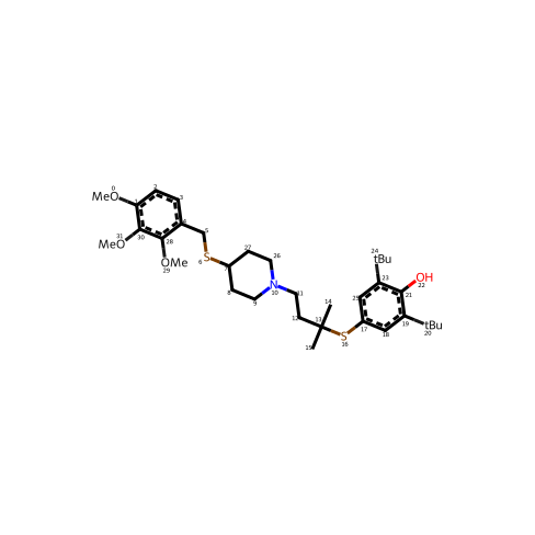 COc1ccc(CSC2CCN(CCC(C)(C)Sc3cc(C(C)(C)C)c(O)c(C(C)(C)C)c3)CC2)c(OC)c1OC